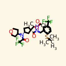 CC(=O)O[C@@H](C)[C@]1(C(=O)NCc2cc(C(F)(F)F)ccc2SC(C)(C)C)CC[C@@H](N(C(=O)C(F)(F)F)C2CCOCC2)C1